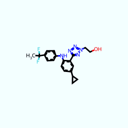 CC(F)(F)c1ccc(Nc2ccc(C3CC3)cc2-c2nnn(CCO)n2)cc1